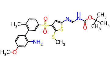 COc1ccc(-c2cc(S(=O)(=O)c3cc(N=CNC(=O)OC(C)(C)C)sc3SC)ccc2C)c(N)c1